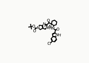 CC(C)(C)OC(=O)N1Cc2cnc(C(=O)C3(N)CCCCC3NC(=O)c3cc4cc(Cl)ccc4[nH]3)nc2C1